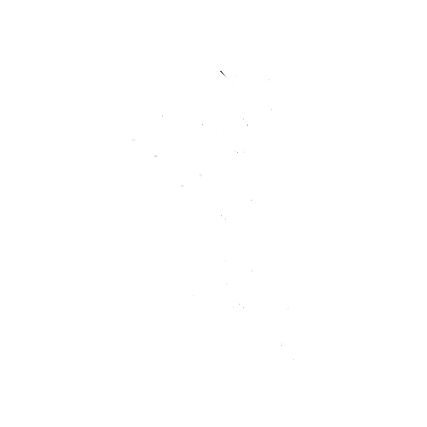 [2H]C([2H])(C(=O)N1CCC(C)CC1)c1nc(-c2nc(N3CC[C@@H]3C)nc3c2CCC3(F)F)no1